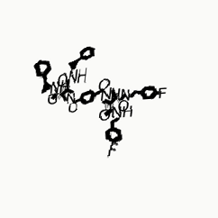 O=C(NCCc1ccc(F)cc1)[C@H]1CN(C(=O)c2ccc(C(=O)N3C[C@H](C(=O)NC4CC4c4ccccc4)[C@@H](C(=O)NC4CC4c4ccccc4)C3)cc2)C[C@@H]1C(=O)NCCc1ccc(F)cc1